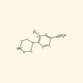 C#Cc1ccc(C2CCNCC2)c(CC)c1